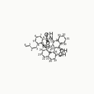 C=C/C=C\c1cccc(S(=O)(=O)Nc2cc(-c3c(O)ccc4ccccc34)c(O)c3ccccc23)c1N